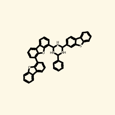 c1ccc(C2NC(c3ccc4c(c3)sc3ccccc34)NC(c3cccc4c3oc3c(-c5cccc6c5oc5ccccc56)cccc34)N2)cc1